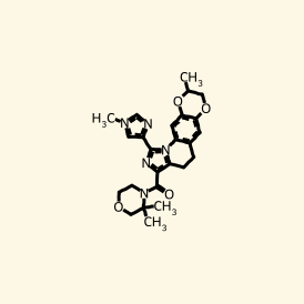 CC1COc2cc3c(cc2O1)-n1c(-c2cn(C)cn2)nc(C(=O)N2CCOCC2(C)C)c1CC3